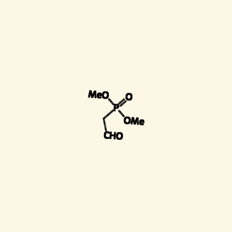 COP(=O)(CC=O)OC